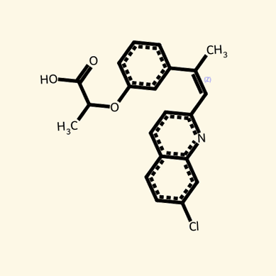 C/C(=C/c1ccc2ccc(Cl)cc2n1)c1cccc(OC(C)C(=O)O)c1